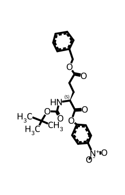 CC(C)(C)OC(=O)N[C@@H](CCC(=O)OCc1ccccc1)C(=O)Oc1ccc([N+](=O)[O-])cc1